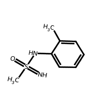 Cc1ccccc1NS(C)(=N)=O